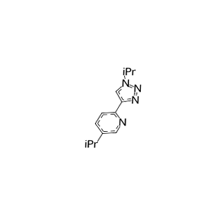 CC(C)c1ccc(-c2cn(C(C)C)nn2)nc1